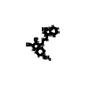 CCC1SC2(CCN(C)CC2)N(CCCc2c[nH]c3ccccc23)C1=O